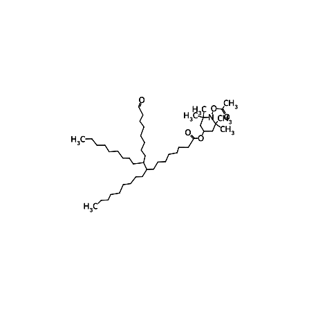 CCCCCCCCCC(CCCCCCCC=O)C(CCCCCCCCC)CCCCCCCC(=O)OC1CC(C)(C)N(OC(C)=O)C(C)(C)C1